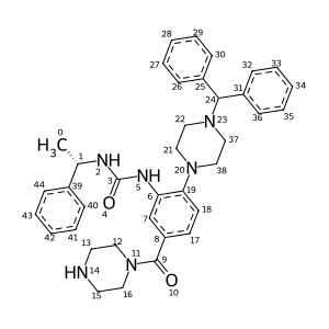 C[C@H](NC(=O)Nc1cc(C(=O)N2CCNCC2)ccc1N1CCN(C(c2ccccc2)c2ccccc2)CC1)c1ccccc1